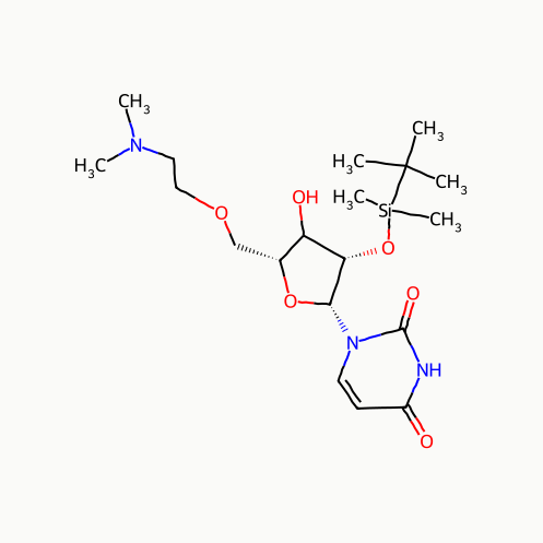 CN(C)CCOC[C@H]1O[C@@H](n2ccc(=O)[nH]c2=O)[C@@H](O[Si](C)(C)C(C)(C)C)C1O